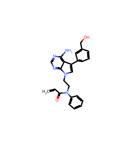 C=CC(=O)N(CCn1cc(-c2cccc(CO)c2)c2c(N)ncnc21)c1ccccc1